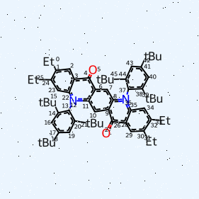 CCc1cc2c(=O)c3cc4c(cc3n(-c3c(C(C)(C)C)cc(C(C)(C)C)cc3C(C)(C)C)c2cc1CC)c(=O)c1cc(CC)c(CC)cc1n4-c1c(C(C)(C)C)cc(C(C)(C)C)cc1C(C)(C)C